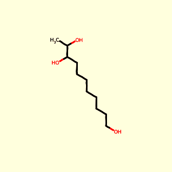 CC(O)C(O)CCCCCCCCO